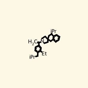 C=C(c1ccc(CC(C)C)c(CC)c1)N1CCC2(CC1)Cc1ccccc1C(C(C)C)C2